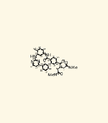 CNC(=O)CN(CC(=O)NC)C(=O)c1ccc(C(=O)Nc2ccc(C)c(Nc3nccc(-c4ccccc4)n3)c2)cc1